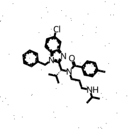 Cc1ccc(C(=O)N(CCCNC(C)C)[C@@H](c2nc3cc(Cl)ccc3n2Cc2ccccc2)C(C)C)cc1